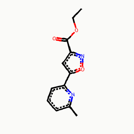 CCOC(=O)c1cc(-c2cccc(C)n2)on1